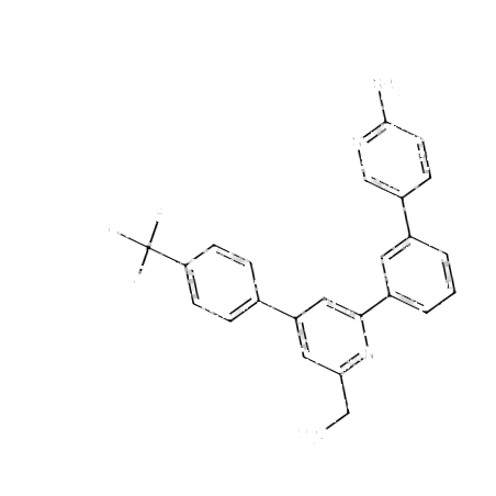 CCc1cc(-c2ccc(C(F)(F)F)cc2)cc(-c2cccc(-c3ccc(N)nc3)c2)n1